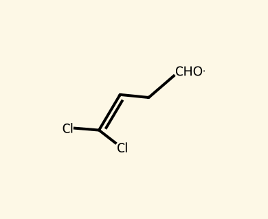 O=[C]CC=C(Cl)Cl